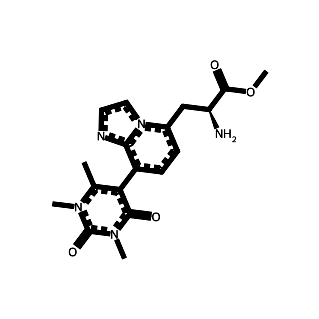 COC(=O)[C@@H](N)Cc1ccc(-c2c(C)n(C)c(=O)n(C)c2=O)c2nccn12